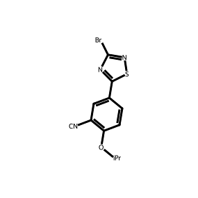 [C-]#[N+]c1cc(-c2nc(Br)ns2)ccc1OC(C)C